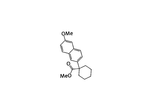 COC(=O)C1(c2ccc3cc(OC)ccc3c2)CCCCC1